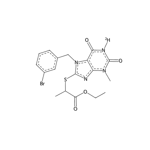 [2H]n1c(=O)c2c(nc(SC(C)C(=O)OCC)n2Cc2cccc(Br)c2)n(C)c1=O